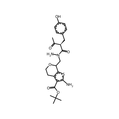 CC(=O)[C@@H](Cc1ccc(O)cc1)C(=O)N(N)CC1OCCc2c1sc(N)c2C(=O)OC(C)(C)C